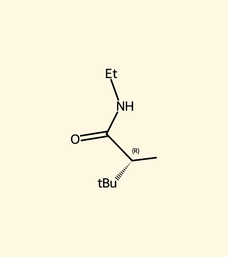 CCNC(=O)[C@H](C)C(C)(C)C